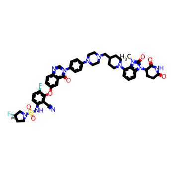 Cn1c(=O)n(C2CCC(=O)NC2=O)c2cccc(N3CCC(CN4CCN(c5ccc(-n6cnc7ccc(Oc8c(F)ccc(NS(=O)(=O)N9CC[C@@H](F)C9)c8C#N)cc7c6=O)cc5)CC4)CC3)c21